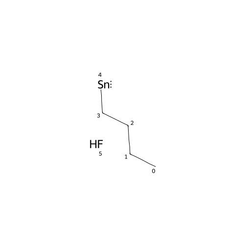 CCC[CH2][Sn].F